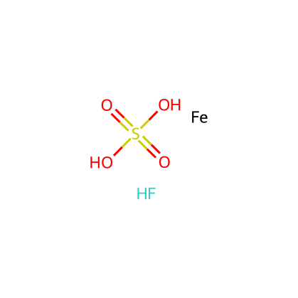 F.O=S(=O)(O)O.[Fe]